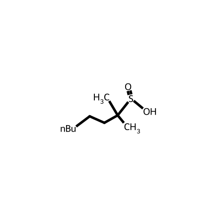 CCCCCCC(C)(C)S(=O)O